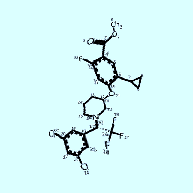 COC(=O)c1cc(C2CC2)c(O[C@@H]2CCCN([C@@H](c3cc(Cl)cc(Cl)c3)C(F)(F)F)C2)cc1F